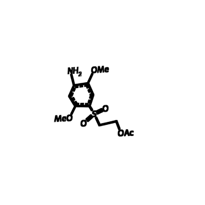 COc1cc(S(=O)(=O)CCOC(C)=O)c(OC)cc1N